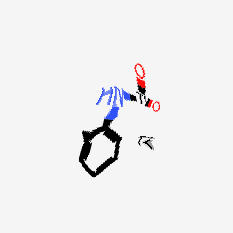 [O]=[Ti](=[O])[NH]c1ccccc1.[Ti]